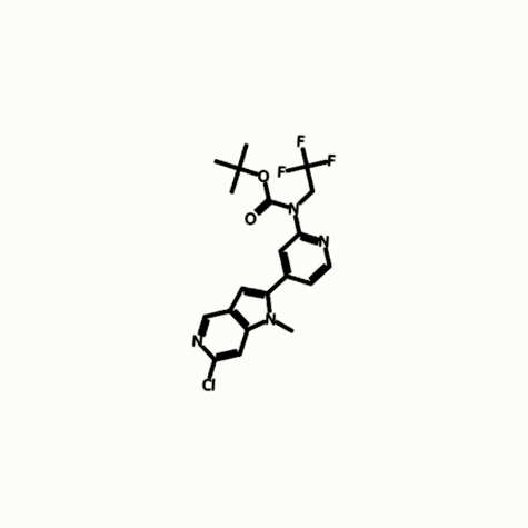 Cn1c(-c2ccnc(N(CC(F)(F)F)C(=O)OC(C)(C)C)c2)cc2cnc(Cl)cc21